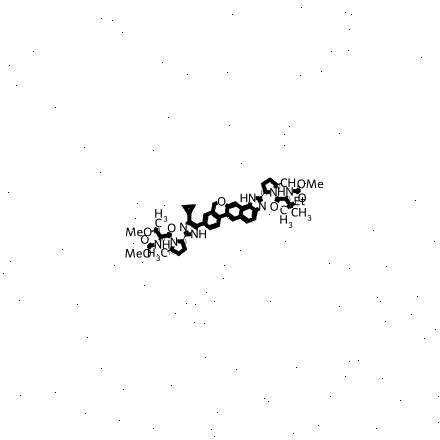 CCC(C)(C)[C@H](NC(=O)OC)C(=O)N1[C@@H](C)CC[C@H]1c1nc2ccc3cc4c(cc3c2[nH]1)OCc1cc(-c2[nH]c([C@@H]3CC[C@H](C)N3C(=O)[C@@H](NC(=O)OC)[C@@H](C)OC)nc2C2CC2)ccc1-4